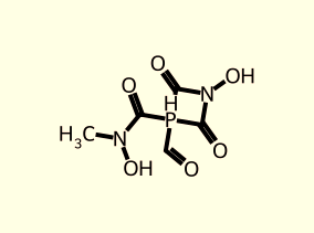 CN(O)C(=O)[PH]1(C=O)C(=O)N(O)C1=O